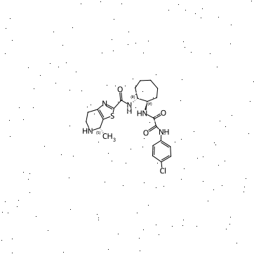 C[C@@H]1NCCc2nc(C(=O)N[C@@H]3CCCCC[C@H]3NC(=O)C(=O)Nc3ccc(Cl)cc3)sc21